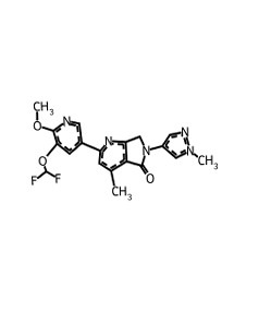 COc1ncc(-c2cc(C)c3c(n2)CN(c2cnn(C)c2)C3=O)cc1OC(F)F